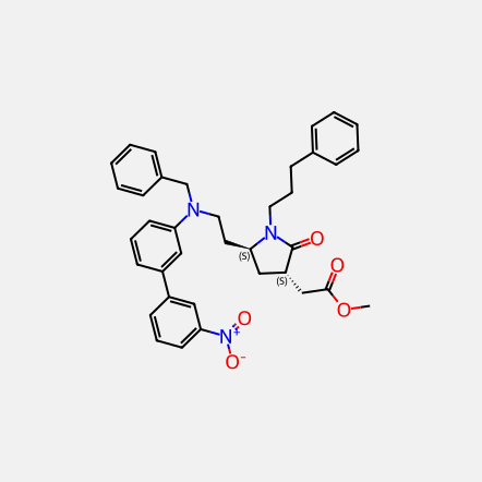 COC(=O)C[C@@H]1C[C@@H](CCN(Cc2ccccc2)c2cccc(-c3cccc([N+](=O)[O-])c3)c2)N(CCCc2ccccc2)C1=O